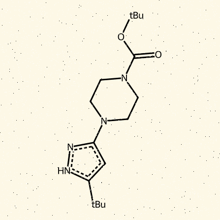 CC(C)(C)OC(=O)N1CCN(c2cc(C(C)(C)C)[nH]n2)CC1